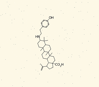 C=C(C)C1CCC2(C(=O)O)CCC3(C)C(CCC4C5(C)CCC(NCCc6ccc(O)cc6)C(C)(C)C5CCC43C)C12